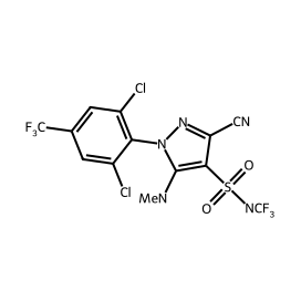 CNc1c(S(=O)(=O)NC(F)(F)F)c(C#N)nn1-c1c(Cl)cc(C(F)(F)F)cc1Cl